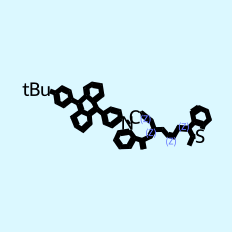 C=C1/C=C(C/C=C\C=C2\C3=C(CCC#C3)SC2C)\C=C/CN(c2ccc(-c3c4ccccc4c(-c4ccc(C(C)(C)C)cc4)c4ccccc34)cc2)c2ccccc21